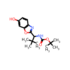 CC(C)(C)OC(=O)NC(c1nc2ccc(O)cc2o1)C(C)(C)C